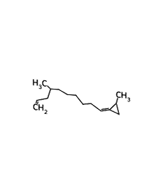 C=CCC(C)CCCCCC=C1CC1C